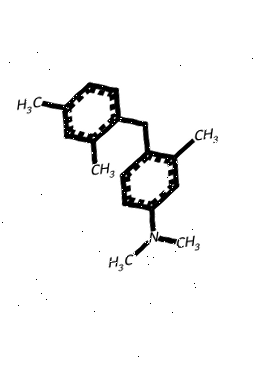 Cc1ccc(Cc2ccc(N(C)C)cc2C)c(C)c1